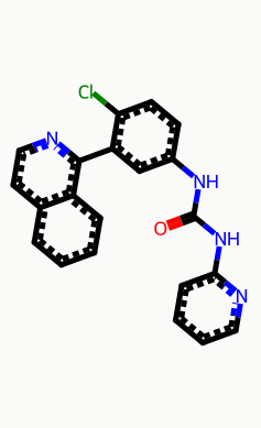 O=C(Nc1ccc(Cl)c(-c2nccc3ccccc23)c1)Nc1ccccn1